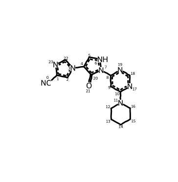 N#Cc1cn(-c2c[nH]n(-c3cc(N4CCCCC4)ncn3)c2=O)cn1